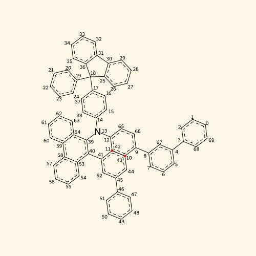 c1ccc(-c2cccc(-c3ccc(N(c4ccc(C5(c6ccccc6)c6ccccc6-c6ccccc65)cc4)c4c(-c5cccc(-c6ccccc6)c5)c5ccccc5c5ccccc45)cc3)c2)cc1